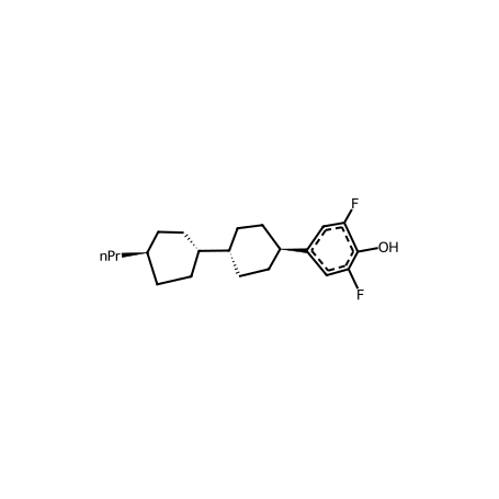 CCC[C@H]1CC[C@H]([C@H]2CC[C@H](c3cc(F)c(O)c(F)c3)CC2)CC1